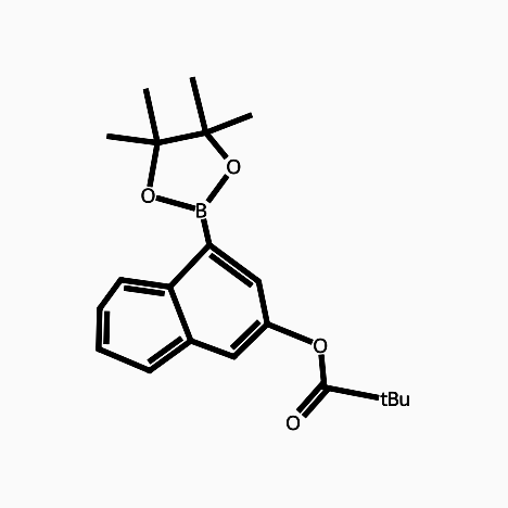 CC(C)(C)C(=O)Oc1cc(B2OC(C)(C)C(C)(C)O2)c2ccccc2c1